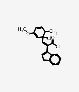 COC1=CC(Cl)(C=C(C(=O)Cl)C2=CCc3ccccc32)C(C)C=C1